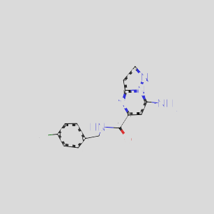 Nc1cc(C(=O)NCc2ccc(F)cc2)nc2ccnn12